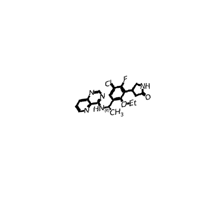 CCOc1c([C@@H](C)Nc2ncnc3cccnc23)cc(Cl)c(F)c1C1CNC(=O)C1